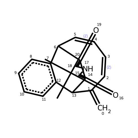 C=C1/C=C\C=C/C2c3ccccc3C1C1C(=O)NC(=O)C21